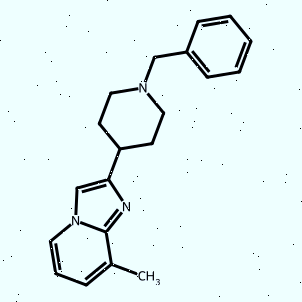 Cc1cccn2cc(C3CCN(Cc4ccccc4)CC3)nc12